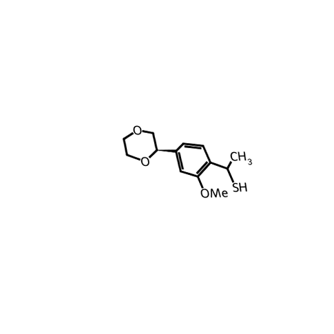 COc1cc([C@@H]2COCCO2)ccc1C(C)S